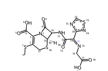 CSC1=C(C(=O)O)N2C(=O)C(NC(=O)/C(=N\CC(=O)O)c3ncsn3)[C@H]2SC1